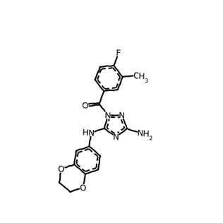 Cc1cc(C(=O)n2nc(N)nc2Nc2ccc3c(c2)OCCO3)ccc1F